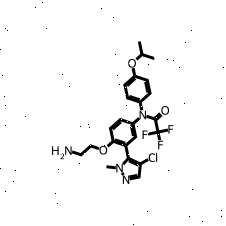 CC(C)Oc1ccc(N(C(=O)C(F)(F)F)c2ccc(OCCN)c(-c3c(Cl)cnn3C)c2)cc1